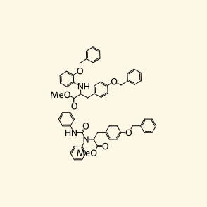 COC(=O)C(Cc1ccc(OCc2ccccc2)cc1)N(C(=O)Nc1ccccc1)c1ccccc1.COC(=O)C(Cc1ccc(OCc2ccccc2)cc1)Nc1ccccc1OCc1ccccc1